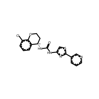 O=C(Nc1csc(-c2cccnc2)n1)N[C@H]1CCOc2c(Cl)cccc21